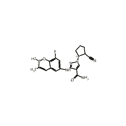 CC1=Cc2cc(Nc3nn([C@H]4CCCC4C#N)cc3C(N)=O)cc(F)c2OB1O